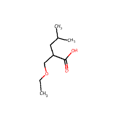 CCOCC(CC(C)C)C(=O)O